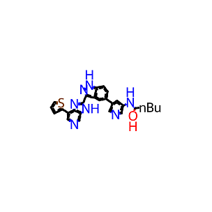 CCCCC(O)Nc1cncc(-c2ccc3[nH]nc(-c4nc5c(-c6cccs6)cncc5[nH]4)c3c2)c1